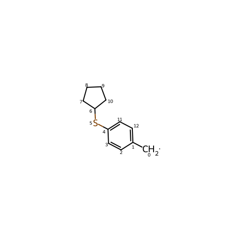 [CH2]c1ccc(SC2CCCC2)cc1